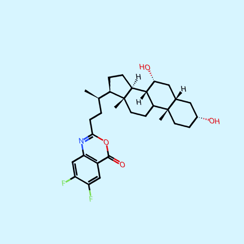 C[C@H](CCc1nc2cc(F)c(F)cc2c(=O)o1)[C@H]1CC[C@H]2[C@H]3C(CC[C@]12C)[C@@]1(C)CC[C@@H](O)C[C@H]1C[C@H]3O